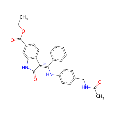 CCOC(=O)c1ccc2c(c1)NC(=O)/C2=C(\Nc1ccc(CNC(C)=O)cc1)c1ccccc1